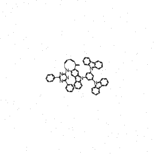 C=C1/C=C\C=C/CN(c2nc(-c3ccccc3)nc(-c3ccccc3)n2)c2cc3c4ccccc4n(-c4cc(-n5c6ccccc6c6ccccc65)cc(-n5c6ccccc6c6ccccc65)c4)c3cc21